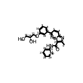 Cc1nc2ccc(-c3cccc(OC[C@H](O)CO)c3)nn2c1C(=O)Nc1ccccn1